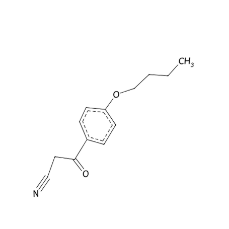 CCCCOc1ccc(C(=O)CC#N)cc1